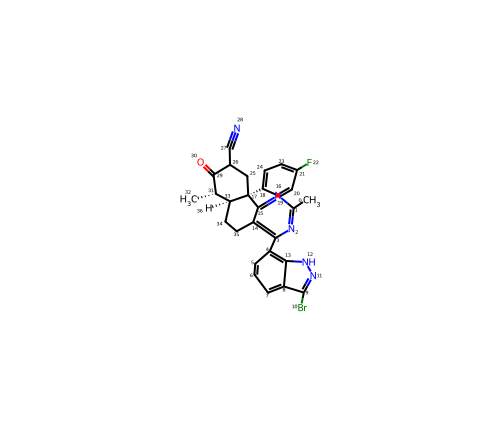 Cc1nc(-c2cccc3c(Br)n[nH]c23)c2c(n1)[C@]1(c3ccc(F)cc3)CC(C#N)C(=O)[C@@H](C)[C@@H]1CC2